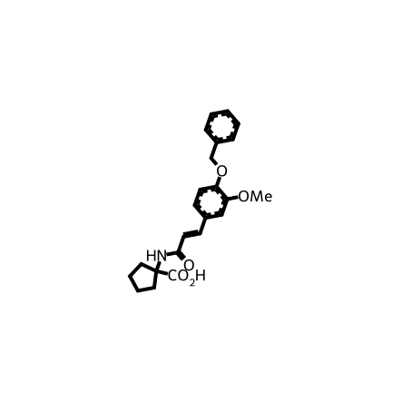 COc1cc(/C=C/C(=O)NC2(C(=O)O)CCCC2)ccc1OCc1ccccc1